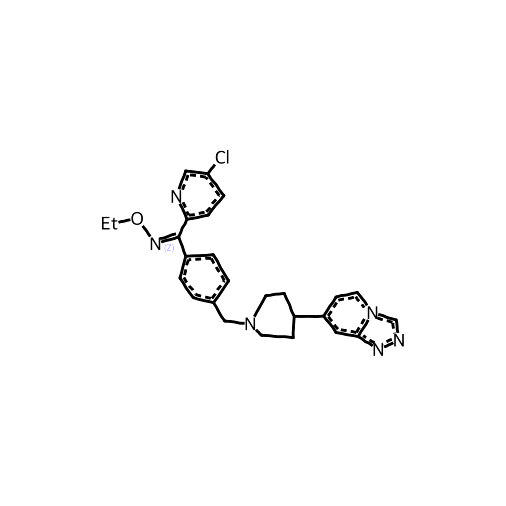 CCO/N=C(/c1ccc(CN2CCC(c3ccn4cnnc4c3)CC2)cc1)c1ccc(Cl)cn1